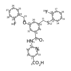 O=C(O)c1ccc(NC(=O)c2cc(CSc3ccccc3F)cc(OCc3ccccc3F)c2)nc1